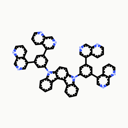 c1cnc2cncc(-c3cc(-c4cncc5ncccc45)cc(-n4c5ccccc5c5c6c7ccccc7n(-c7cc(-c8cncc9ncccc89)cc(-c8cncc9ncccc89)c7)c6ccc54)c3)c2c1